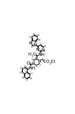 CCOC(=O)CN1CCN(C(=O)Nc2cccc3ccccc23)CC1C(C)Nc1nccc(-n2cnc3ccccc32)n1